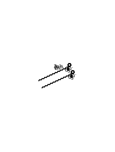 CCCCCCCCCCCCCCCCCCCCCCS(c1ccccc1)=P([O-])([O-])[S-].CCCCCCCCCCCCCCCCCCCCCCS(c1ccccc1)=P([O-])([O-])[S-].[Zn+2].[Zn+2].[Zn+2]